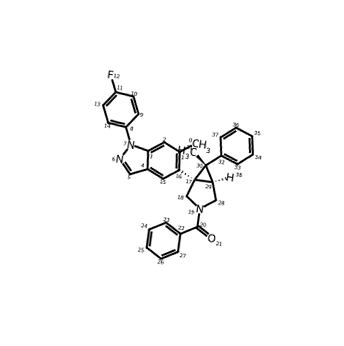 Cc1cc2c(cnn2-c2ccc(F)cc2)cc1[C@@]12CN(C(=O)c3ccccc3)C[C@@H]1[C@@]2(C)c1ccccc1